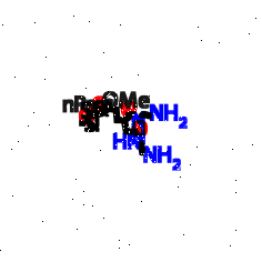 CCC[Si](C)(O[Si](C)(C)C)O[Si](C)(CCC(CC(=O)NCCN)C(=O)NCCN)OC